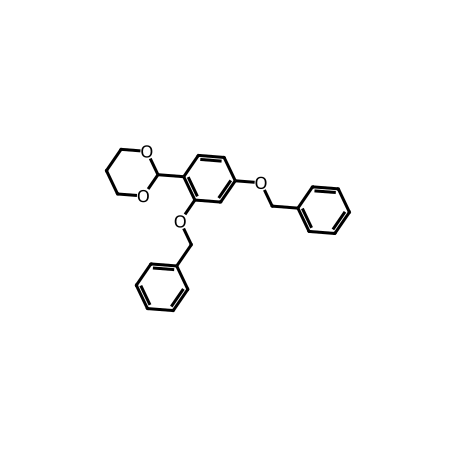 c1ccc(COc2ccc(C3OCCCO3)c(OCc3ccccc3)c2)cc1